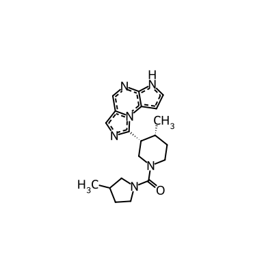 CC1CCN(C(=O)N2CC[C@@H](C)[C@@H](c3ncc4cnc5[nH]ccc5n34)C2)C1